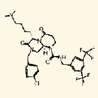 CN(C)CCCC[C@H]1C(=O)N(Cc2ccc(Cl)cc2)C[C@@H]2N(C(=O)NCc3cc(C(F)(F)F)cc(C(F)(F)F)c3)CCC(=O)N21